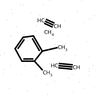 C.C#C.C#C.Cc1ccccc1C